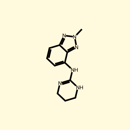 Cn1nc2cccc(NC3=NCCCN3)c2n1